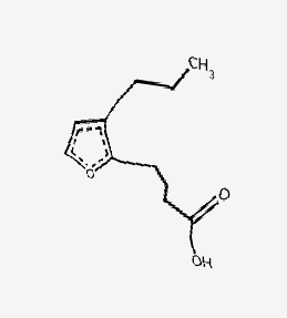 CCCc1ccoc1CCC(=O)O